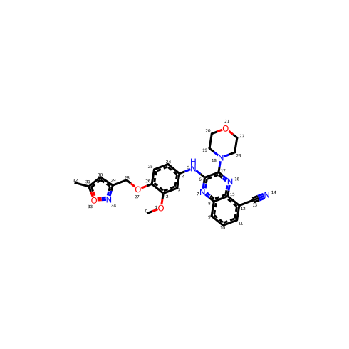 COc1cc(Nc2nc3cccc(C#N)c3nc2N2CCOCC2)ccc1OCc1cc(C)on1